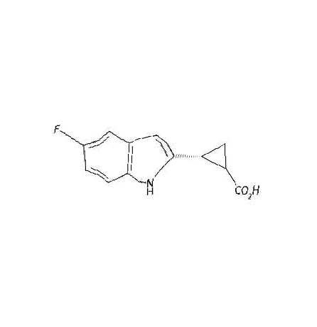 O=C(O)C1C[C@H]1c1cc2cc(F)ccc2[nH]1